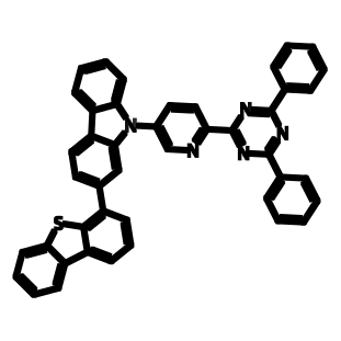 c1ccc(-c2nc(-c3ccccc3)nc(-c3ccc(-n4c5ccccc5c5ccc(-c6cccc7c6sc6ccccc67)cc54)cn3)n2)cc1